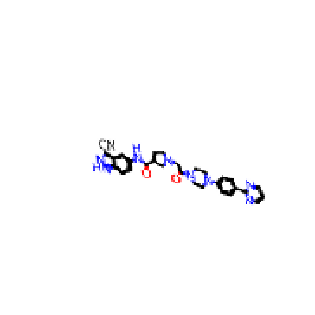 N#Cc1n[nH]c2ccc(NC(=O)C3CCN(CC(=O)N4CCN(c5ccc(-c6ncccn6)cc5)CC4)C3)cc12